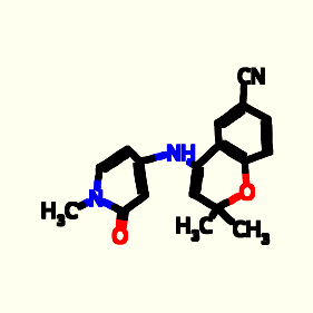 Cn1ccc(NC2=CC(C)(C)Oc3ccc(C#N)cc32)cc1=O